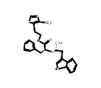 O=C(O)c1ncsc1CCNC(=O)[C@H](Cc1ccccc1)N[C@@H](Cc1c[nH]c2ccccc12)C(=O)O